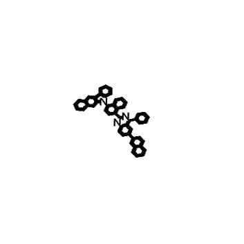 c1ccc(-c2nc(-c3ccc(-n4c5ccccc5c5cc6ccccc6cc54)c4ccccc34)nc3ccc(-c4ccc5ccccc5c4)cc23)cc1